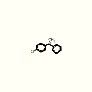 C[C@H](c1ccccc1)c1ccc(Cl)cc1